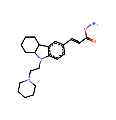 NOC(=O)/C=C/c1ccc2c(c1)C1CCCCC1N2CCN1CCCCC1